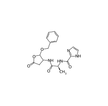 C[C@H](NC(=O)c1ncc[nH]1)C(=O)NC1CC(=O)OC1OCc1ccccc1